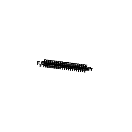 CC(C)C(F)(F)C(F)(F)C(F)(F)C(F)(F)C(F)(F)C(F)(F)C(F)(F)C(F)(F)C(F)(F)C(F)(F)C(F)(F)C(F)(F)C(F)(F)C(F)(F)C(F)(F)C(F)(F)C(F)(F)C(F)(F)C(F)(F)C(F)(F)C(F)(F)C(F)(F)F